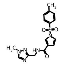 Cc1ccc(S(=O)(=O)n2ccc(C(=O)NCc3ncn(C)n3)c2)cc1